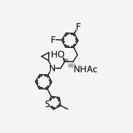 CC(=O)N[C@@H](Cc1cc(F)cc(F)c1)[C@H](O)CN(c1cccc(-c2cc(C)cs2)c1)C1CC1